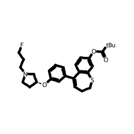 CC(C)(C)C(=O)Oc1ccc2c(c1)SCCC=C2c1cccc(O[C@@H]2CCN(CCCF)C2)c1